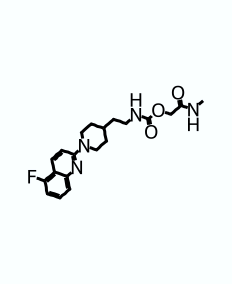 CNC(=O)COC(=O)NCCC1CCN(c2ccc3c(F)cccc3n2)CC1